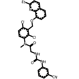 CCc1ccc2cccc(OCc3c(Cl)ccc(N(C)C(=O)CNC(=O)Nc4cccc(C#N)c4)c3Cl)c2n1